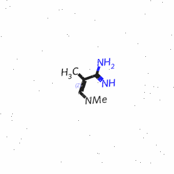 CN/C=C(/C)C(=N)N